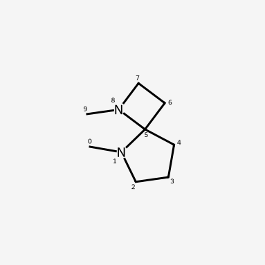 CN1CCCC12CCN2C